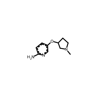 CN1CCC(Oc2ccc(N)nc2)C1